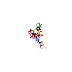 CC(=O)OC[C@H]1O[C@H](Sc2cc(Cl)c(Cl)cc2F)[C@H](OC(C)=O)[C@@H](n2cc(-c3csc(O)n3)nn2)[C@H]1OC(C)=O